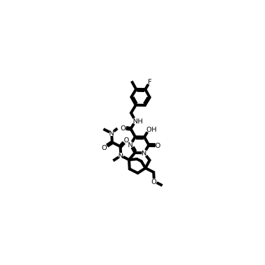 COCC12CCC(N(C)C(=O)C(=O)N(C)C)(CC1)c1nc(C(=O)NCc3ccc(F)c(C)c3)c(O)c(=O)n1C2